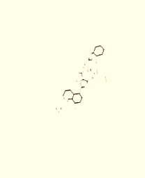 COc1ccc(-c2nc(C(=O)NCc3nc4ccccc4s3)c([C@H](C)N)o2)c2ccc(C(F)(F)F)nc12